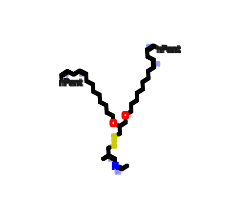 C/C=N\C=C(/C)CSSCC(COCCCCCCCC/C=C\C/C=C\CCCCC)OCCCCCCCC/C=C\C/C=C\CCCCC